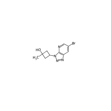 CC1(O)CC(n2nnc3cc(Br)cnc32)C1